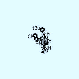 CC[C@@H]1C[C@]1(NC(=O)[C@@H]1C[C@@H](C2c3cccc(Cl)c3CN2C(=O)O)CN1C(=O)[C@@H](Nc1cccc(C(C)(C)C)c1)C(C)C)C(=O)NS(=O)(=O)C1CC1